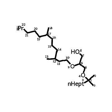 CCCCCCCC(C)(C)OCC(CO)OCCC(C)CCCC(C)CCCC(C)C